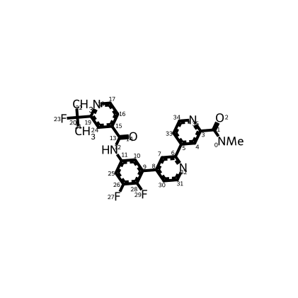 CNC(=O)c1cc(-c2cc(-c3cc(NC(=O)c4ccnc(C(C)(C)F)c4)cc(F)c3F)ccn2)ccn1